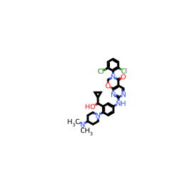 CN(C)C1CCN(c2ccc(Nc3ncc4c(n3)OCN(c3c(Cl)cccc3Cl)C4=O)cc2C(O)C2CC2)CC1